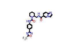 O=C(NCC1CCCCN1C(=O)Nc1ccc(-c2noc(C(F)(F)F)n2)cc1)c1ccc2nccn2c1